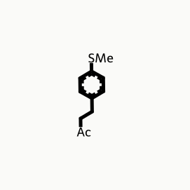 CSc1ccc(CCC(C)=O)cc1